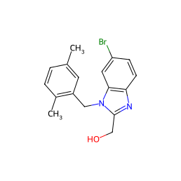 Cc1ccc(C)c(Cn2c(CO)nc3ccc(Br)cc32)c1